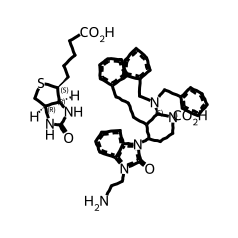 NCCn1c(=O)n(C2CCN(C(=O)O)[C@H](N(Cc3ccccc3)Cc3ccccc3)C2CCCc2ccccc2)c2ccccc21.O=C(O)CCCC[C@@H]1SC[C@@H]2NC(=O)N[C@@H]21